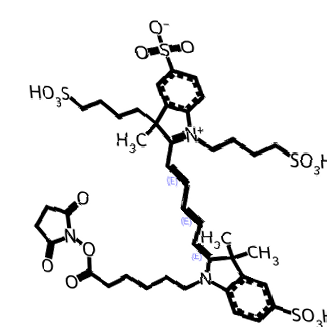 CC1(CCCCS(=O)(=O)O)C(/C=C/C=C/C=C2/N(CCCCCC(=O)ON3C(=O)CCC3=O)c3ccc(S(=O)(=O)O)cc3C2(C)C)=[N+](CCCCS(=O)(=O)O)c2ccc(S(=O)(=O)[O-])cc21